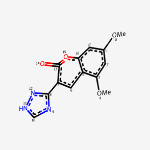 COc1cc(OC)c2cc(-c3nc[nH]n3)c(=O)oc2c1